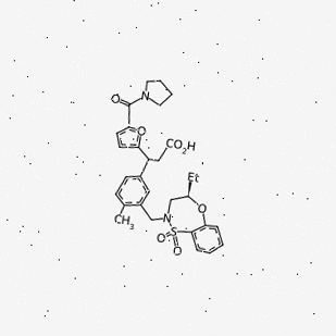 CC[C@@H]1CN(Cc2cc(C(CC(=O)O)c3ccc(C(=O)N4CCCC4)o3)ccc2C)S(=O)(=O)c2ccccc2O1